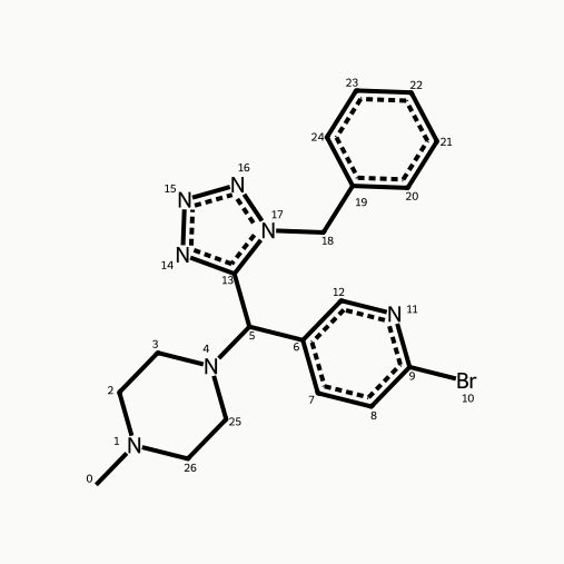 CN1CCN(C(c2ccc(Br)nc2)c2nnnn2Cc2ccccc2)CC1